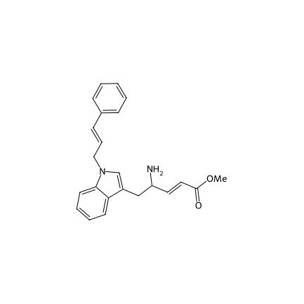 COC(=O)/C=C/C(N)Cc1cn(C/C=C/c2ccccc2)c2ccccc12